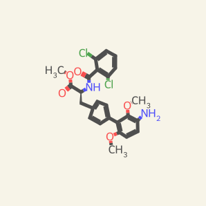 COC(=O)[C@H](Cc1ccc(-c2c(OC)ccc(N)c2OC)cc1)NC(=O)c1c(Cl)cccc1Cl